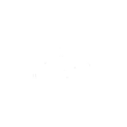 COC(=O)C(OC1CCCCO1)C(=O)CCC(C)O